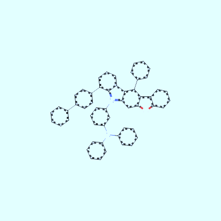 c1ccc(-c2ccc(-c3cccc4c5c(-c6ccccc6)c6c(cc5n(-c5cccc(N(c7ccccc7)c7ccccc7)c5)c34)oc3ccccc36)cc2)cc1